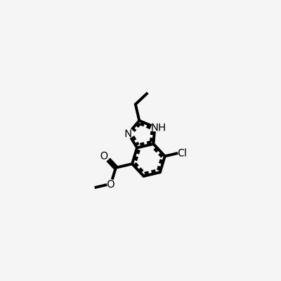 CCc1nc2c(C(=O)OC)ccc(Cl)c2[nH]1